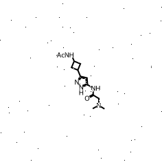 CC(=O)NC1CC(c2cc(NC(=O)CN(C)C)[nH]n2)C1